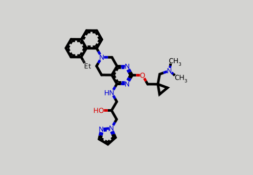 CCc1cccc2cccc(N3CCc4c(nc(OCC5(CN(C)C)CC5)nc4NCC(O)Cn4cccn4)C3)c12